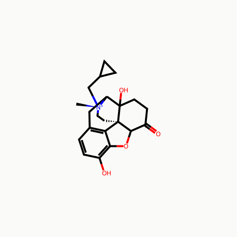 C[N@+]1(CC2CC2)CC[C@@]23c4c5ccc(O)c4OC2C(=O)CCC3(O)C1C5